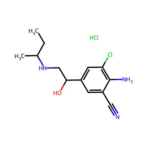 CCC(C)NCC(O)c1cc(Cl)c(N)c(C#N)c1.Cl